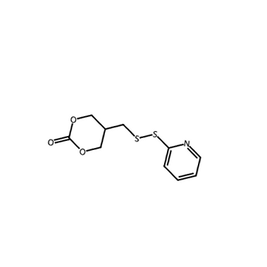 O=C1OCC(CSSc2ccccn2)CO1